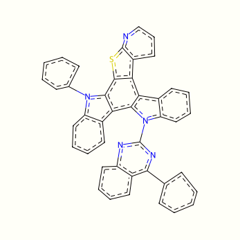 c1ccc(-c2nc(-n3c4ccccc4c4c5c6cccnc6sc5c5c(c6ccccc6n5-c5ccccc5)c43)nc3ccccc23)cc1